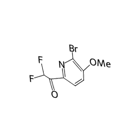 COc1ccc(C(=O)C(F)F)nc1Br